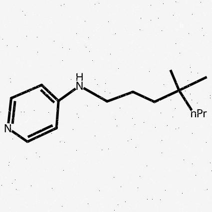 CCCC(C)(C)CCCNc1ccncc1